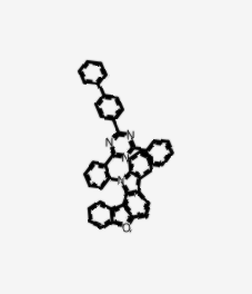 c1ccc(-c2ccc(-c3nc(-c4ccccc4)nc(-c4ccccc4-n4c5ccccc5c5ccc6oc7ccccc7c6c54)n3)cc2)cc1